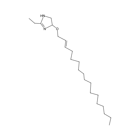 CCCCCCCCCCCCCCC=CCOC1CNC(CC)=N1